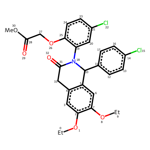 CCOc1cc2c(cc1OCC)C(c1ccc(Cl)cc1)N(c1cc(Cl)ccc1OCC(=O)OC)C(=O)C2